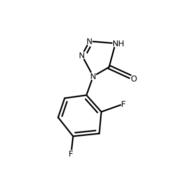 O=c1[nH]nnn1-c1ccc(F)cc1F